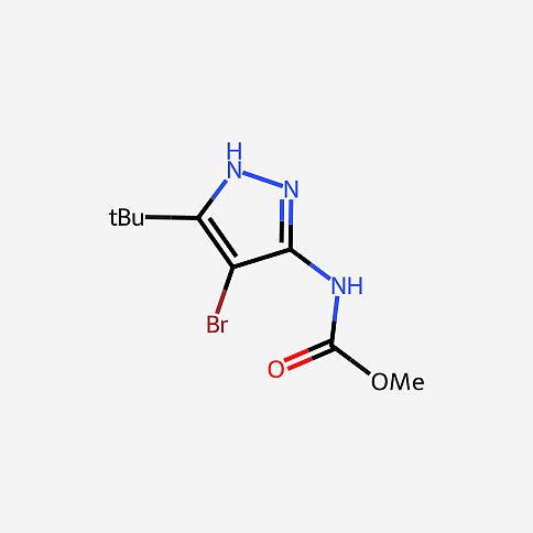 COC(=O)Nc1n[nH]c(C(C)(C)C)c1Br